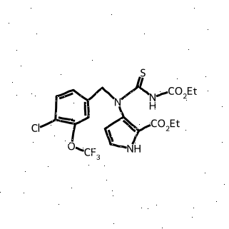 CCOC(=O)NC(=S)N(Cc1ccc(Cl)c(OC(F)(F)F)c1)c1cc[nH]c1C(=O)OCC